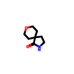 O=C1NCCC12CCOCC2